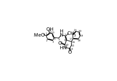 COc1ccc(CNC(C)=C2C(=O)NC(=O)CC2c2ccccc2)cc1O